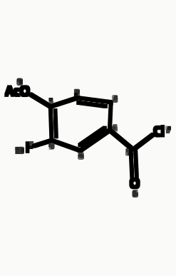 CC(=O)Oc1ccc(C(=O)Cl)cc1F